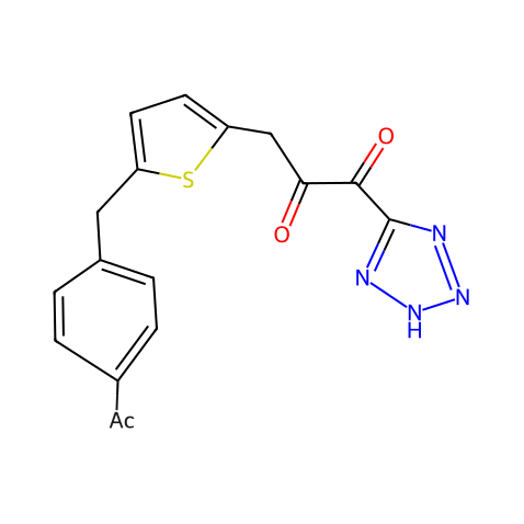 CC(=O)c1ccc(Cc2ccc(CC(=O)C(=O)c3nn[nH]n3)s2)cc1